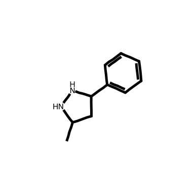 CC1CC(c2ccccc2)NN1